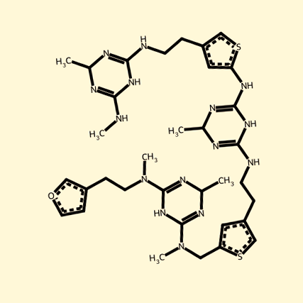 CNC1=NC(C)N=C(NCCc2csc(NC3=NC(C)N=C(NCCc4csc(CN(C)C5=NC(C)N=C(N(C)CCc6ccoc6)N5)c4)N3)c2)N1